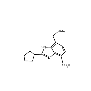 COCc1ccc(C(=O)O)c2nc(C3CCCC3)[nH]c12